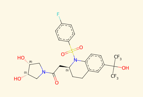 O=C(C[C@@H]1CCc2cc(C(O)(C(F)(F)F)C(F)(F)F)ccc2N1S(=O)(=O)c1ccc(F)cc1)N1C[C@@H](O)[C@@H](O)C1